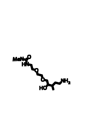 CNC(=O)NCCOCCOCC(O)C(C)CCN